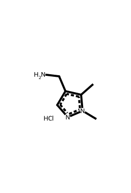 Cc1c(CN)cnn1C.Cl